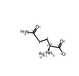 NC(=O)CC[C@H](N)C(=O)[O-].[Ag+]